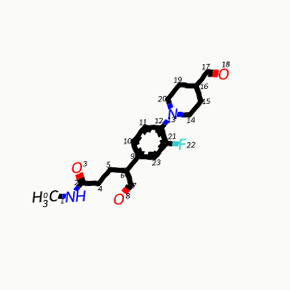 CNC(=O)CCC(C=O)c1ccc(N2CCC(C=O)CC2)c(F)c1